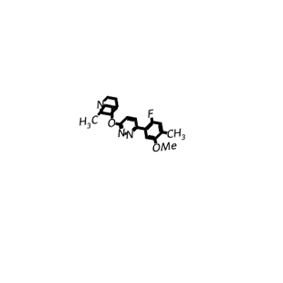 COc1cc(-c2ccc(OC3C4CCN(CC4)C3C)nn2)c(F)cc1C